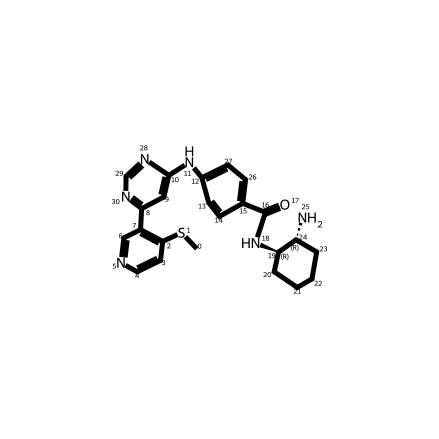 CSc1ccncc1-c1cc(Nc2ccc(C(=O)N[C@@H]3CCCC[C@H]3N)cc2)ncn1